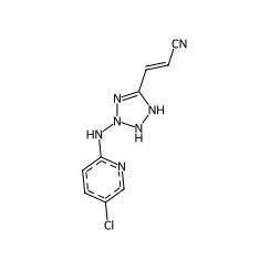 N#CC=CC1=NN(Nc2ccc(Cl)cn2)NN1